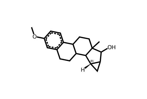 COc1ccc2c(c1)CCC1C2CCC2(C)C(O)C3C[C@@H]3C12